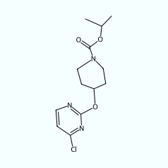 CC(C)OC(=O)N1CCC(Oc2nccc(Cl)n2)CC1